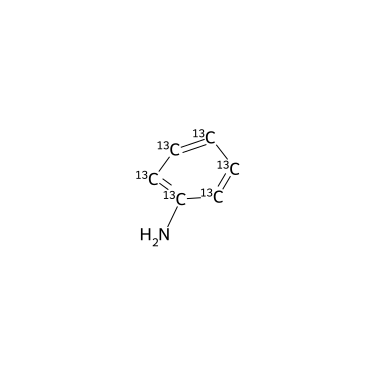 N[13c]1[13cH][13cH][13cH][13cH][13cH]1